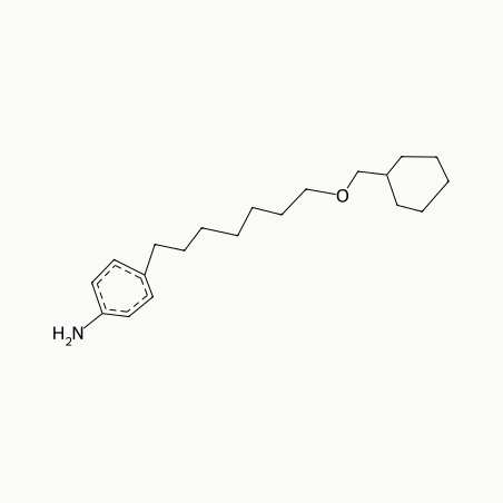 Nc1ccc(CCCCCCCOCC2CCCCC2)cc1